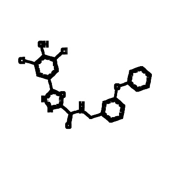 O=C(NCc1cccc(Oc2ccccc2)c1)c1nnc(-c2cc(Cl)c(O)c(Cl)c2)o1